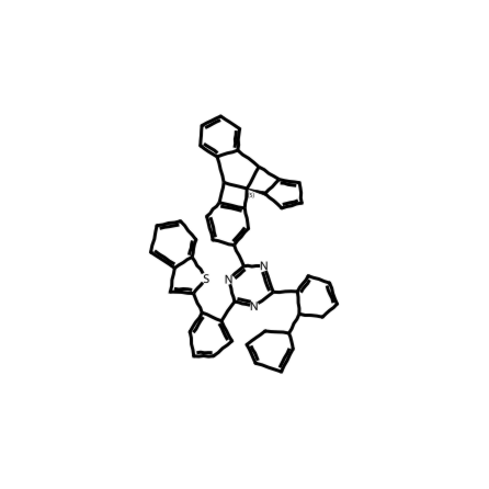 C1=CCC(C2CC=CC=C2c2nc(-c3ccc4c(c3)[C@@]35C6C=CC=C6C3c3ccccc3C45)nc(-c3ccccc3-c3cc4ccccc4s3)n2)C=C1